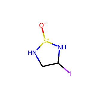 [O-][S+]1NCC(I)N1